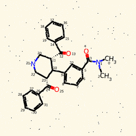 CN(C)C(=O)c1cccc(C2[C@@H](C(=O)c3ccccc3)C[N]C[C@H]2C(=O)c2ccccc2)c1